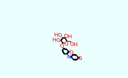 O=c1ccc2nc3ccc(O[C@@H]4O[C@H](CO)[C@@H](O)[C@H](O)[C@H]4O)cc3oc-2c1